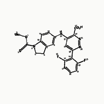 CC(C)(C)OC(=O)N1CCc2cc(Nc3cc(-c4c(F)cccc4F)nnc3C(=O)O)ccc21